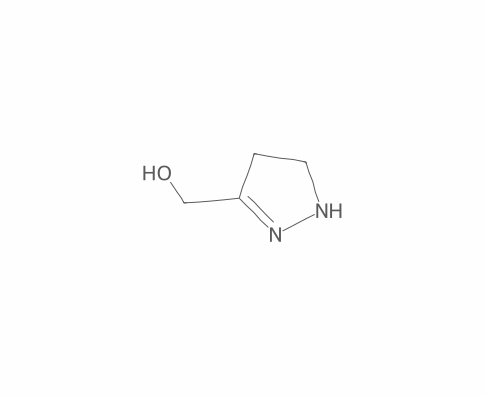 OCC1=NNCC1